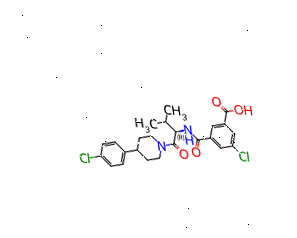 CC(C)[C@@H](NC(=O)c1cc(Cl)cc(C(=O)O)c1)C(=O)N1CCC(c2ccc(Cl)cc2)CC1